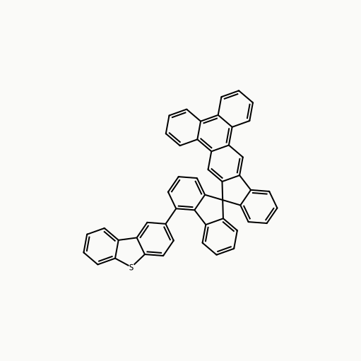 c1ccc2c(c1)-c1cc3c4ccccc4c4ccccc4c3cc1C21c2ccccc2-c2c(-c3ccc4sc5ccccc5c4c3)cccc21